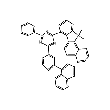 CC1(C)c2cccc(-c3nc(-c4ccccc4)nc(-c4cccc(-c5cccc6ccccc56)c4)n3)c2-c2ccc3ccccc3c21